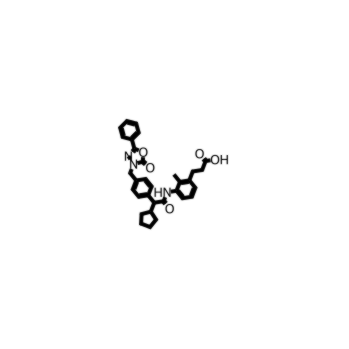 Cc1c(CCC(=O)O)cccc1NC(=O)C(c1ccc(Cn2nc(-c3ccccc3)oc2=O)cc1)C1CCCC1